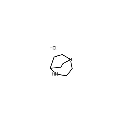 C1CN2CCC(CC2)N1.Cl